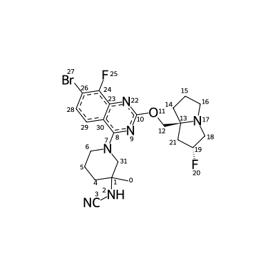 CC1(NC#N)CCCN(c2nc(OC[C@@]34CCCN3C[C@H](F)C4)nc3c(F)c(Br)ccc23)C1